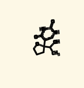 CC(O)C1(c2c[nH]c(=O)[nH]c2=O)CCCO1